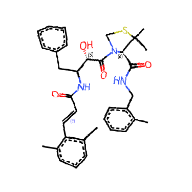 Cc1ccccc1CNC(=O)[C@H]1N(C(=O)[C@@H](O)C(Cc2ccccc2)NC(=O)/C=C/c2c(C)cccc2C)CSC1(C)C